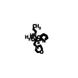 CCCNC(=O)C(CN1CCOCC1)(OC)Sc1ccccn1